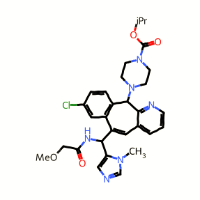 COCC(=O)NC(C1=Cc2cccnc2C(N2CCN(C(=O)OC(C)C)CC2)c2ccc(Cl)cc21)c1cncn1C